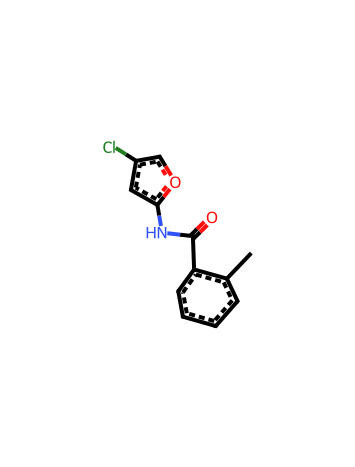 Cc1ccccc1C(=O)Nc1cc(Cl)co1